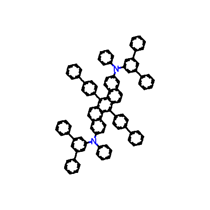 c1ccc(-c2ccc(-c3c4ccc5cc(N(c6ccccc6)c6cc(-c7ccccc7)cc(-c7ccccc7)c6)ccc5c4c(-c4ccc(-c5ccccc5)cc4)c4ccc5cc(N(c6ccccc6)c6cc(-c7ccccc7)cc(-c7ccccc7)c6)ccc5c34)cc2)cc1